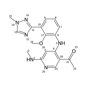 CNc1cc(Nc2cccc(-c3ncn(C)n3)c2OC)c(C(C)=O)cn1